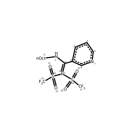 CCCCCCCCNC(c1cccnc1)=[N+](S(=O)(=O)C(F)(F)F)S(=O)(=O)C(F)(F)F